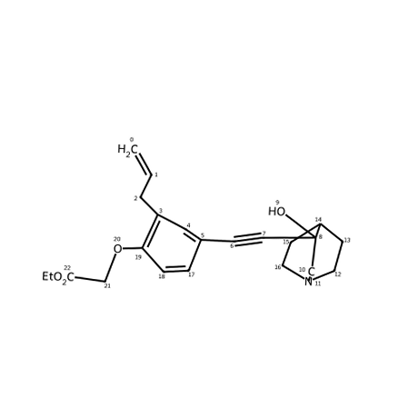 C=CCc1cc(C#CC2(O)CN3CCC2CC3)ccc1OCC(=O)OCC